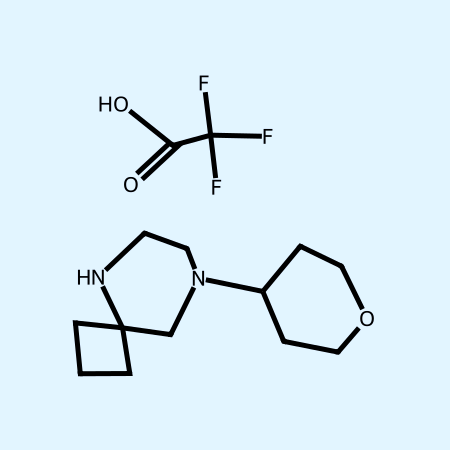 C1CC2(C1)CN(C1CCOCC1)CCN2.O=C(O)C(F)(F)F